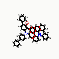 c1ccc(-c2ccc(N(c3cccc(-c4ccccc4N(c4ccccc4-c4ccccc4)c4ccccc4-c4ccccc4)c3)c3ccc4c(oc5ccccc54)c3-c3ccccc3)cc2)cc1